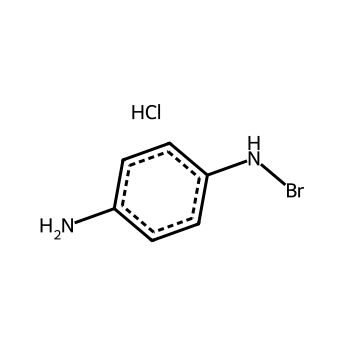 Cl.Nc1ccc(NBr)cc1